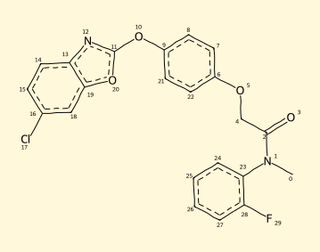 CN(C(=O)COc1ccc(Oc2nc3ccc(Cl)cc3o2)cc1)c1ccccc1F